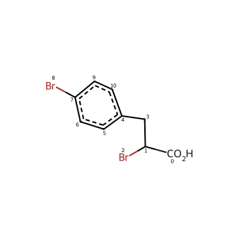 O=C(O)C(Br)Cc1ccc(Br)cc1